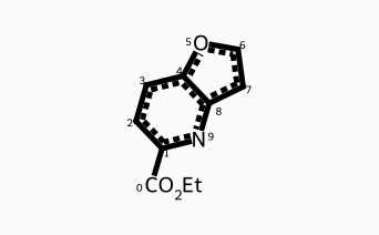 CCOC(=O)c1ccc2occc2n1